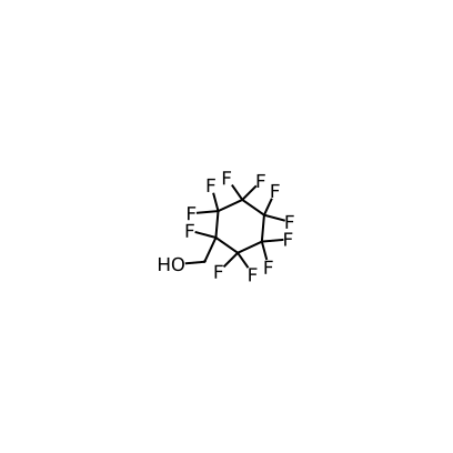 OCC1(F)C(F)(F)C(F)(F)C(F)(F)C(F)(F)C1(F)F